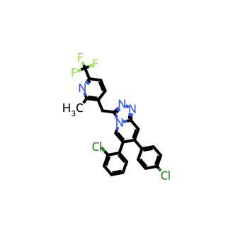 Cc1nc(C(F)(F)F)ccc1Cc1nnc2cc(-c3ccc(Cl)cc3)c(-c3ccccc3Cl)cn12